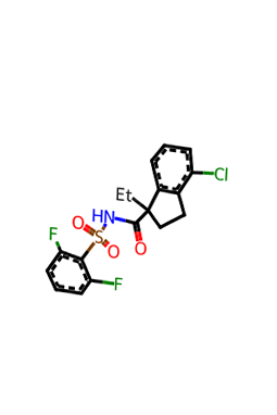 CCC1(C(=O)NS(=O)(=O)c2c(F)cccc2F)CCc2c(Cl)cccc21